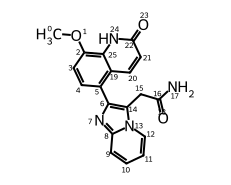 COc1ccc(-c2nc3ccccn3c2CC(N)=O)c2ccc(=O)[nH]c12